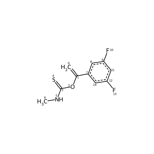 C=C(OC(=S)NC)c1cc(F)cc(F)c1